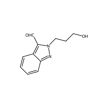 O=Cc1c2ccccc2nn1CCCO